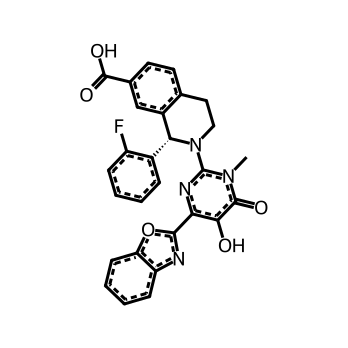 Cn1c(N2CCc3ccc(C(=O)O)cc3[C@H]2c2ccccc2F)nc(-c2nc3ccccc3o2)c(O)c1=O